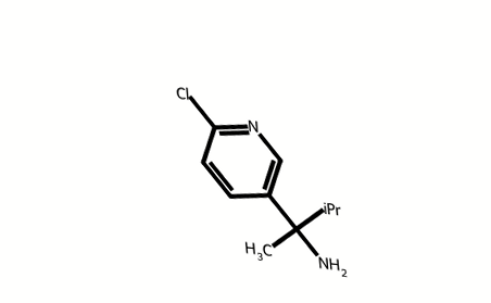 CC(C)C(C)(N)c1ccc(Cl)nc1